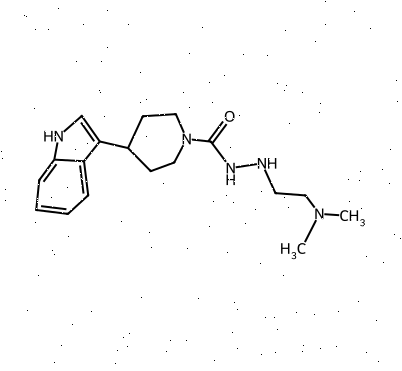 CN(C)CCNNC(=O)N1CCC(c2c[nH]c3ccccc23)CC1